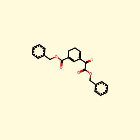 O=C(OCc1ccccc1)C(=O)C1=CCCC(C(=O)OCc2ccccc2)=C1